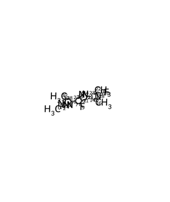 Cc1cn2nc(-c3cc(F)c4cc(C5C[C@@H](C)N(CCF)[C@@H](C)C5)nnc4c3)cc(C)c2n1